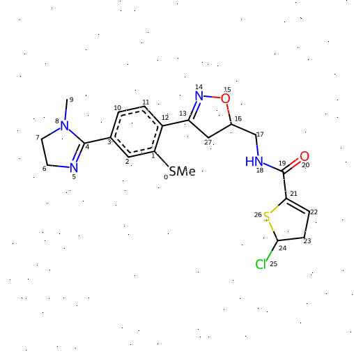 CSc1cc(C2=NCCN2C)ccc1C1=NOC(CNC(=O)C2=CCC(Cl)S2)C1